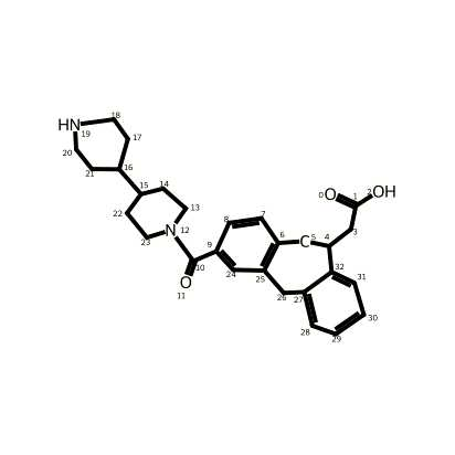 O=C(O)CC1Cc2ccc(C(=O)N3CCC(C4CCNCC4)CC3)cc2Cc2ccccc21